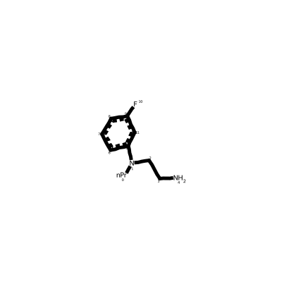 CCCN(CCN)c1cccc(F)c1